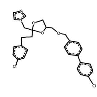 Clc1ccc(CCC2(Cn3ccnc3)OCC(COCc3ccc(-c4ccc(Cl)cc4)cc3)O2)cc1